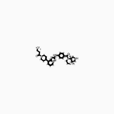 O=C(CCC(F)(F)F)N1CC=C(c2cccn3nc(Nc4ccc(C(=O)N5CCO[C@@H]6CNC[C@H]65)cc4)nc23)CC1